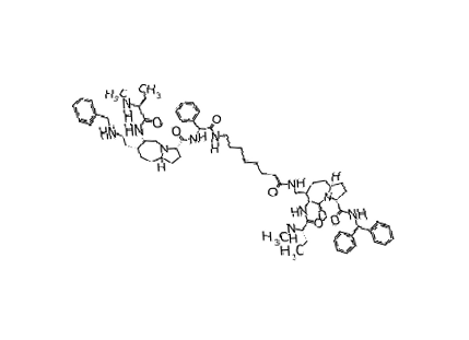 CC[C@H](NC)C(=O)N[C@@H]1C(=O)N2[C@@H](CC[C@@H]1CNC(=O)CCCCCCCNC(=O)[C@@H](NC(=O)[C@@H]1CC[C@@H]3CC[C@H](CCNCc4ccccc4)[C@H](NC(=O)[C@H](CC)NC)CN31)c1ccccc1)CC[C@H]2C(=O)NC(c1ccccc1)c1ccccc1